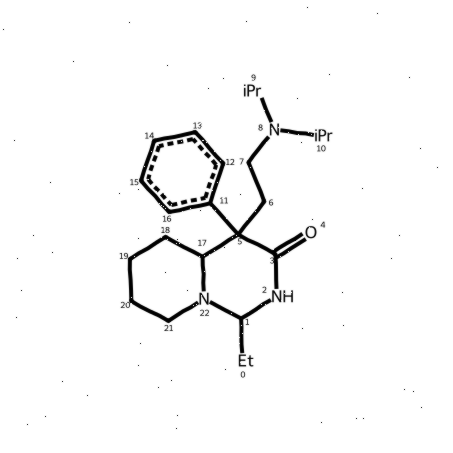 CCC1NC(=O)C(CCN(C(C)C)C(C)C)(c2ccccc2)C2CCCCN12